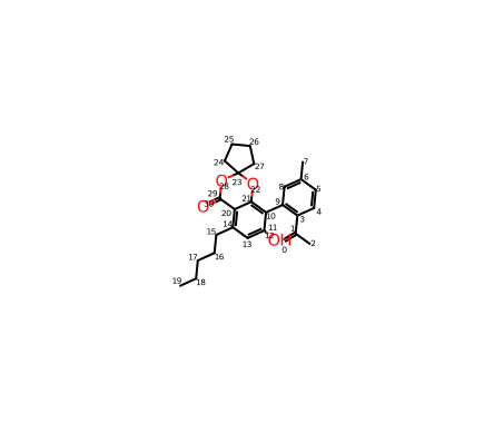 C=C(C)c1ccc(C)cc1-c1c(O)cc(CCCCC)c2c1OC1(CCCC1)OC2=O